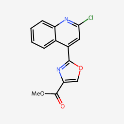 COC(=O)c1coc(-c2cc(Cl)nc3ccccc23)n1